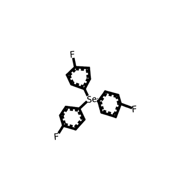 Fc1ccc([Se](c2ccc(F)cc2)c2ccc(F)cc2)cc1